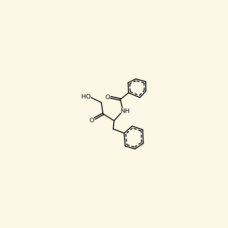 O=C(NC(Cc1ccccc1)C(=O)CO)c1ccccc1